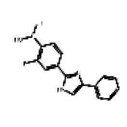 OB(O)c1ccc(-c2nc(-c3ccccc3)c[nH]2)cc1F